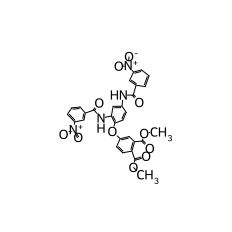 COC(=O)c1ccc(Oc2ccc(NC(=O)c3cccc([N+](=O)[O-])c3)cc2NC(=O)c2cccc([N+](=O)[O-])c2)cc1C(=O)OC